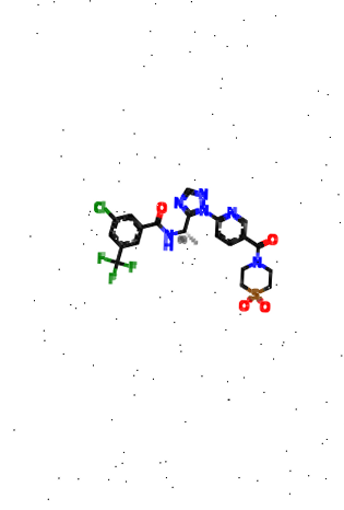 C[C@H](NC(=O)c1cc(Cl)cc(C(F)(F)F)c1)c1ncnn1-c1ccc(C(=O)N2CCS(=O)(=O)CC2)cn1